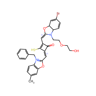 Cc1ccc2c(c1)oc(/C=C1/C(=O)C(/C=C3/OC4C=C(Br)C=CC4N3CCOCCO)=C1S)[n+]2Cc1ccccc1